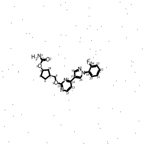 NC(=O)O[C@@H]1CC[C@H](COc2nccc(-c3cnn(-c4ccccc4F)c3)n2)C1